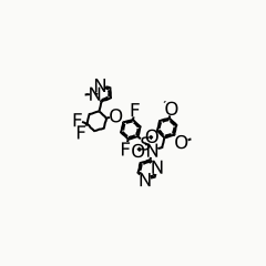 COc1ccc(CN(c2ccncn2)S(=O)(=O)c2cc(F)c(OC3CCC(F)(F)CC3c3ccnn3C)cc2F)c(OC)c1